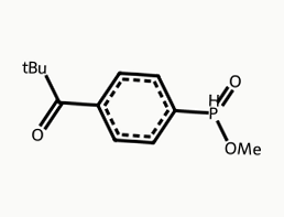 CO[PH](=O)c1ccc(C(=O)C(C)(C)C)cc1